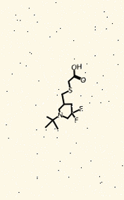 CC(C)(C)N1CC(CSCC(=O)O)CC(F)(F)C1